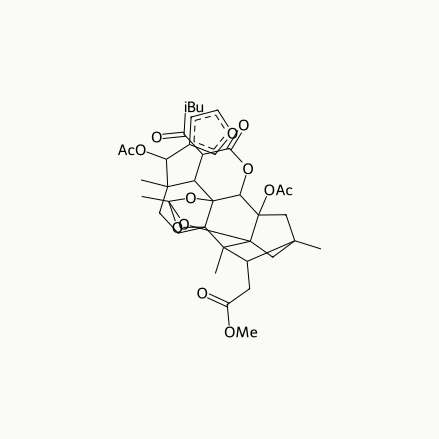 CCC(C)C(=O)C1C(=O)OC2C3(OC(C)=O)CC4(C)CC35OC3(C)OC26C1C(C)(C(OC(C)=O)c1ccoc1)CCC6(O3)C5(C)C4CC(=O)OC